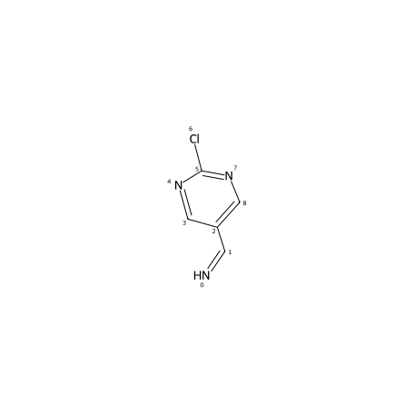 N=Cc1cnc(Cl)nc1